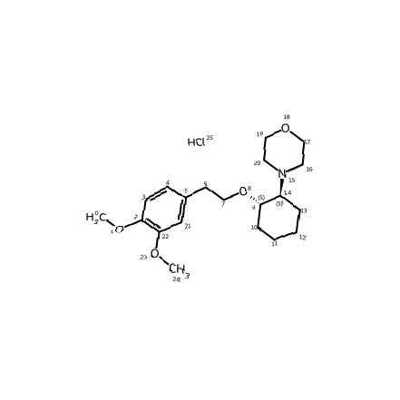 COc1ccc(CCO[C@H]2CCCC[C@@H]2N2CCOCC2)cc1OC.Cl